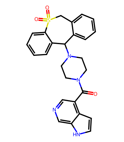 O=C(c1cncc2[nH]ccc12)N1CCN(C2c3ccccc3CS(=O)(=O)c3ccccc32)CC1